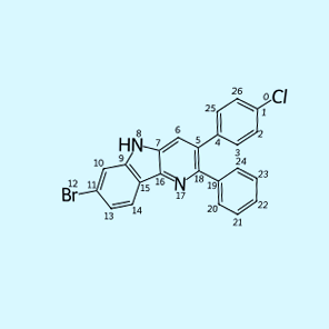 Clc1ccc(-c2cc3[nH]c4cc(Br)ccc4c3nc2-c2ccccc2)cc1